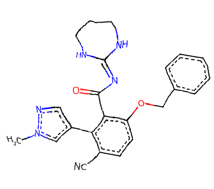 Cn1cc(-c2c(C#N)ccc(OCc3ccccc3)c2C(=O)N=C2NCCCN2)cn1